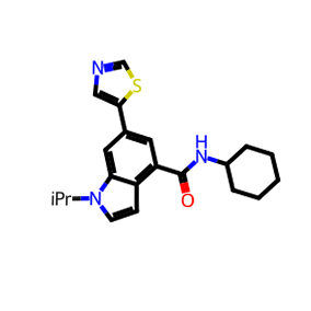 CC(C)n1ccc2c(C(=O)NC3CCCCC3)cc(-c3cncs3)cc21